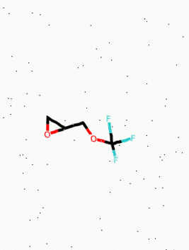 FC(F)(F)OCC1CO1